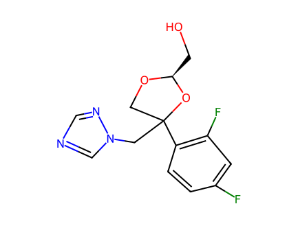 OC[C@@H]1OCC(Cn2cncn2)(c2ccc(F)cc2F)O1